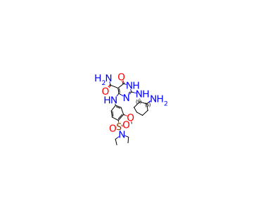 CCN(CC)S(=O)(=O)c1ccc(Nc2nc(N[C@H]3CCCC[C@@H]3N)[nH]c(=O)c2C(N)=O)cc1OC